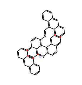 C(=Nc1ccc2ccccc2c1-c1c(/N=C/c2c3ccccc3cc3ccccc23)ccc2ccccc12)c1c2ccccc2cc2ccccc12